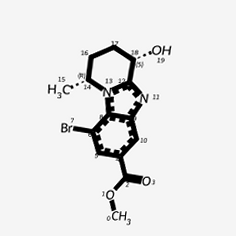 COC(=O)c1cc(Br)c2c(c1)nc1n2[C@H](C)CC[C@@H]1O